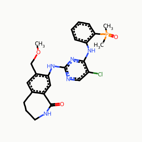 COCc1cc2c(cc1Nc1ncc(Cl)c(Nc3ccccc3P(C)(C)=O)n1)C(=O)NCCC2